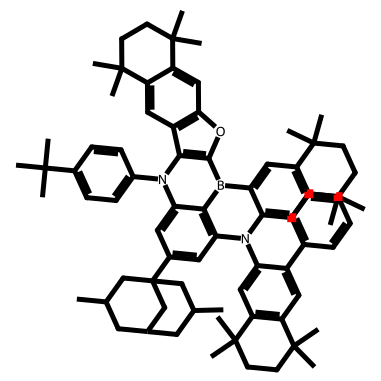 CC1CC2CC(C)CC(c3cc4c5c(c3)N(c3ccc(C(C)(C)C)cc3)c3c(oc6cc7c(cc36)C(C)(C)CCC7(C)C)B5c3cc5c(cc3N4c3cc4c(cc3-c3ccccc3)C(C)(C)CCC4(C)C)C(C)(C)CCC5(C)C)(C1)C2